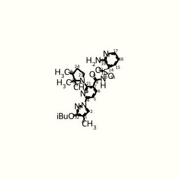 Cc1cn(-c2ccc(C(=O)NS(=O)(=O)c3cccnc3N)c(N3CCC(C)C3(C)C)n2)nc1OCC(C)C